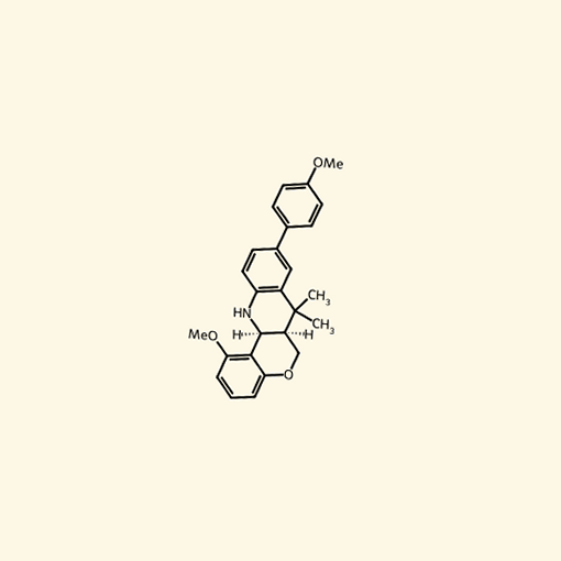 COc1ccc(-c2ccc3c(c2)C(C)(C)[C@H]2COc4cccc(OC)c4[C@H]2N3)cc1